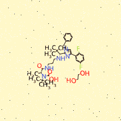 C[C@@H](C(=O)NCCCN[C@@H](c1nc(-c2cc(F)ccc2F)cn1Cc1ccccc1)C(C)(C)C)N(C(=O)O)C(C)(C)C.OCCO